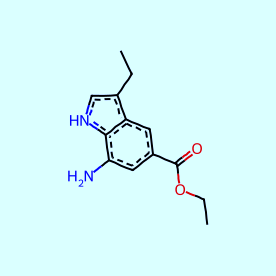 CCOC(=O)c1cc(N)c2[nH]cc(CC)c2c1